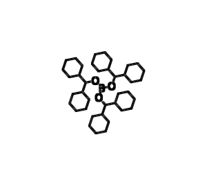 C1CCC(C(OB(OC(C2CCCCC2)C2CCCCC2)OC(C2CCCCC2)C2CCCCC2)C2CCCCC2)CC1